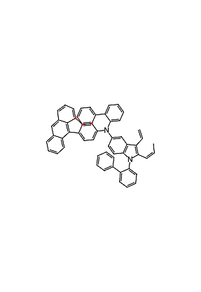 C=Cc1c(/C=C\C)n(-c2ccccc2-c2ccccc2)c2ccc(N(c3ccc4c(c3)-c3cccc5cc6ccccc6c-4c35)c3ccccc3-c3ccccc3)cc12